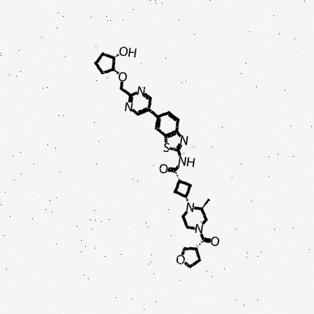 C[C@H]1CN(C(=O)[C@@H]2CCOC2)CCN1[C@H]1C[C@@H](C(=O)Nc2nc3ccc(-c4cnc(CO[C@H]5CCC[C@@H]5O)nc4)cc3s2)C1